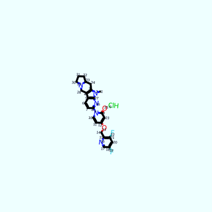 Cl.Cn1c2c(c3ccc(-n4ccc(OCc5ncc(F)cc5F)cc4=O)nc31)CN1CCCC1C2